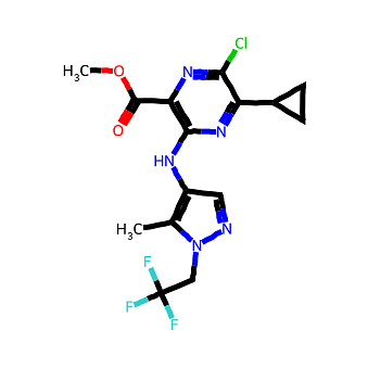 COC(=O)c1nc(Cl)c(C2CC2)nc1Nc1cnn(CC(F)(F)F)c1C